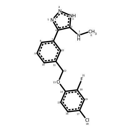 CNc1[nH]nnc1-c1cccc(COc2ccc(Cl)cc2F)c1